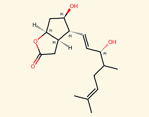 CC(C)=CCC(C)[C@@H](O)C=C[C@@H]1[C@H]2CC(=O)O[C@H]2C[C@H]1O